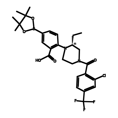 CC[C@@H]1CN(C(=O)c2ccc(C(F)(F)F)cc2Cl)CCN1c1ccc(B2OC(C)(C)C(C)(C)O2)cc1C(=O)O